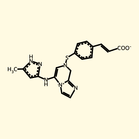 Cc1cc(NC2=CN(Sc3ccc(C=CC(=O)[O-])cc3)CC3=NC=C[N+]23)n[nH]1